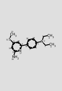 CCN(CC)c1ccc(-c2cc(SC)cc(N)n2)cc1